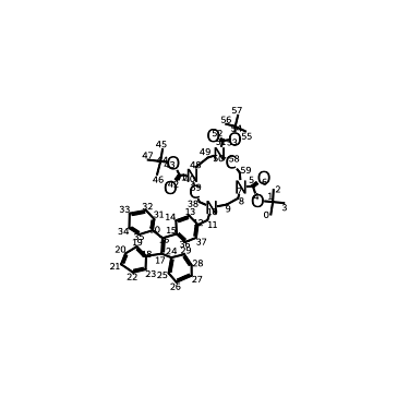 CC(C)(C)OC(=O)N1CCN(Cc2ccc(C(=C(c3ccccc3)c3ccccc3)c3ccccc3)cc2)CCN(C(=O)OC(C)(C)C)CCN(C(=O)OC(C)(C)C)CC1